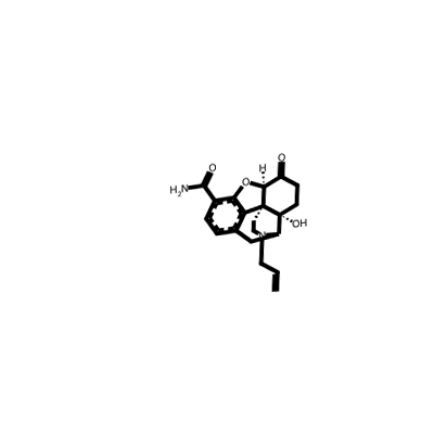 C=CCN1CC[C@]23c4c5ccc(C(N)=O)c4O[C@H]2C(=O)CC[C@@]3(O)C1C5